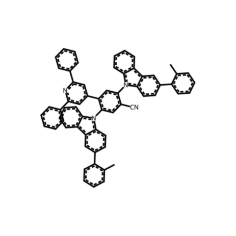 Cc1ccccc1-c1ccc2c(c1)c1ccccc1n2-c1cc(-c2cc(-c3ccccc3)nc(-c3ccccc3)c2)c(-n2c3ccccc3c3cc(-c4ccccc4C)ccc32)cc1C#N